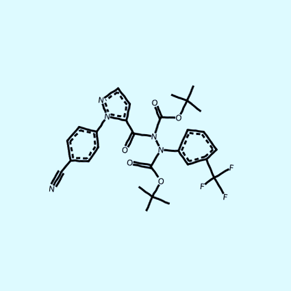 CC(C)(C)OC(=O)N(C(=O)c1ccnn1-c1ccc(C#N)cc1)N(C(=O)OC(C)(C)C)c1cccc(C(F)(F)F)c1